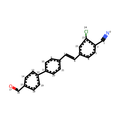 N#Cc1ccc(C=Cc2ccc(-c3ccc(C=O)cc3)cc2)cc1Cl